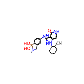 CN1Cc2cc(Nc3nn(C4CCCCC4C#N)c4cc[nH]c(=O)c34)ccc2S1(O)O